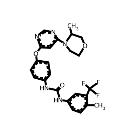 Cc1ccc(NC(=O)Nc2ccc(Oc3cc(N4CCOCC4C)ncn3)cc2)cc1C(F)(F)F